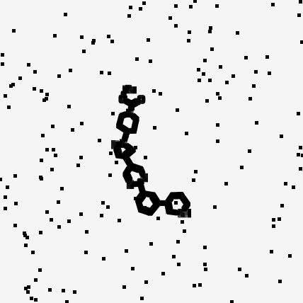 CC(C)(C)OC(=O)N1CCC(n2cc(-c3cnc(-c4cccc(C5=CNCC=C5)c4)nc3)cn2)CC1